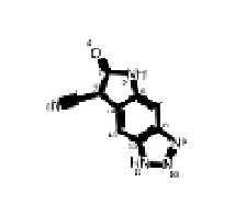 N#CC1C(=O)Nc2cc3nn[nH]c3cc21